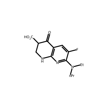 CCCN(CC)c1nc2c(cc1F)C(=O)C(C(=O)O)CN2